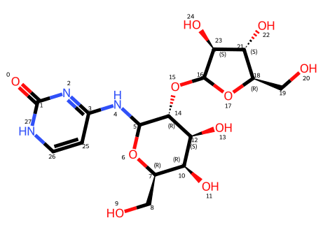 O=c1nc(NC2O[C@H](CO)[C@H](O)[C@H](O)[C@H]2OC2O[C@H](CO)[C@@H](O)[C@@H]2O)cc[nH]1